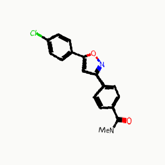 CNC(=O)c1ccc(-c2cc(-c3ccc(Cl)cc3)on2)cc1